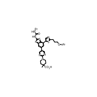 CCCOCCCc1ncc(-c2cc(-c3cnc(N4CCC(C)(C(=O)O)CC4)nc3)cc3nc(NC(=O)NCC)sc23)s1